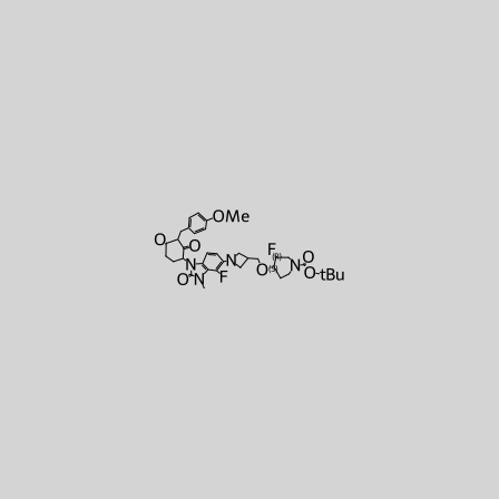 COc1ccc(CC2C(=O)CCC(n3c(=O)n(C)c4c(F)c(N5CC(CO[C@H]6CCN(C(=O)OC(C)(C)C)C[C@H]6F)C5)ccc43)C2=O)cc1